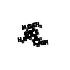 CC(C)c1ccc(N2CCC[C@@H](O)C2)c(CN(C)C)n1